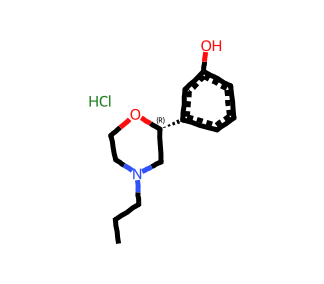 CCCN1CCO[C@H](c2cccc(O)c2)C1.Cl